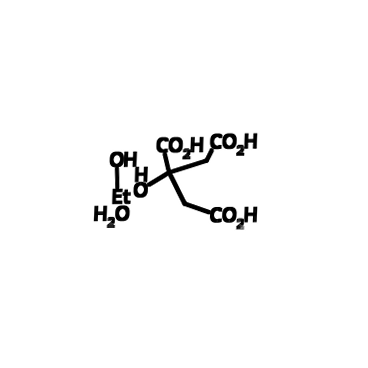 CCO.O.O=C(O)CC(O)(CC(=O)O)C(=O)O